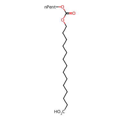 CCCCCOC(=O)OCCCCCCCCCCCCCC(=O)O